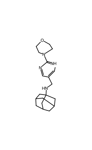 C/C=C(\C=N/C(=N)N1CCOCC1)CNC12CC3CC(CC(C3)C1)C2